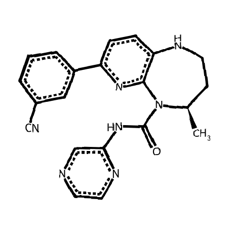 C[C@@H]1CCNc2ccc(-c3cccc(C#N)c3)nc2N1C(=O)Nc1cnccn1